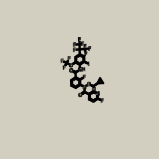 O=C(Nc1c(I)cc(C(F)(C(F)(F)F)C(F)(F)F)cc1OC(F)(F)F)c1cccc(N(OC(=O)C2CC2)C(=O)c2ccc(F)nc2)c1F